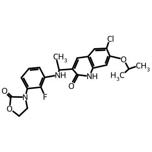 CC(C)Oc1cc2[nH]c(=O)c(C(C)Nc3cccc(N4CCOC4=O)c3F)cc2cc1Cl